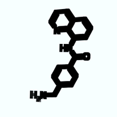 NCc1ccc(C(=O)Nc2cccc3cccnc23)cc1